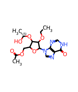 CCOC1C(O[C@@H](C)O)C(COC(C)=O)OC1n1cnc2c(=O)[nH]cnc21